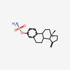 C=C1CC[C@@]2(C)CCC3c4ccc(OS(N)(=O)=O)cc4CCC3C12